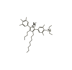 CCCCCCCCC1=C(c2cc(C)c(C)c(C)c2)[N+](=[N-])C(c2cc(C)c(C)c(C)c2)=C1CCCC.C[CH2][Ni][CH2]C